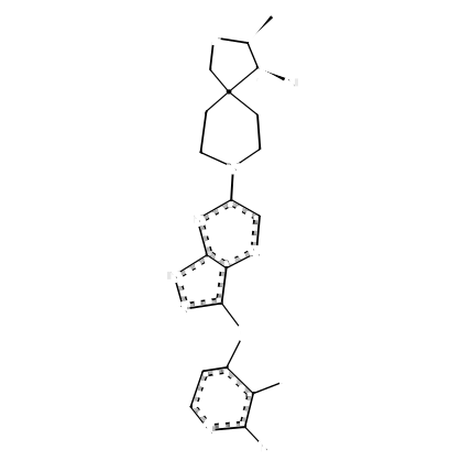 C[C@@H]1OCC2(CCN(c3cnc4c(Oc5ccnc(N)c5Cl)n[nH]c4n3)CC2)[C@@H]1N